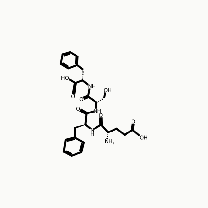 N[C@@H](CCC(=O)O)C(=O)N[C@@H](Cc1ccccc1)C(=O)N[C@@H](CO)C(=O)N[C@@H](Cc1ccccc1)C(=O)O